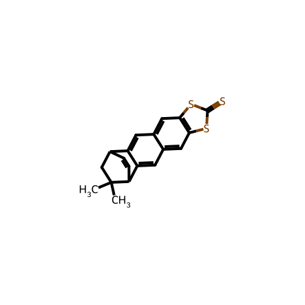 CC1(C)CC2C=CC1c1cc3cc4sc(=S)sc4cc3cc12